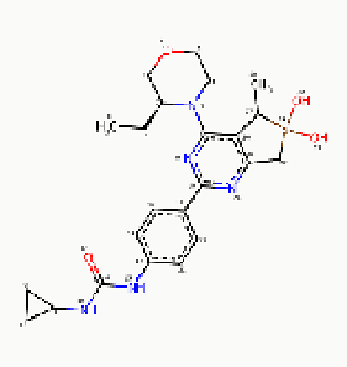 CC[C@H]1COCCN1c1nc(-c2ccc(NC(=O)NC3CC3)cc2)nc2c1C(C)S(O)(O)C2